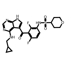 O=C(c1c(F)ccc(NS(=O)(=O)C2CCOCC2)c1F)c1c[nH]c2ncnc(NCC3CC3)c12